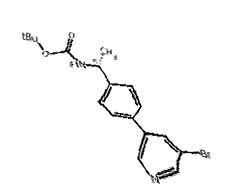 C[C@@H](NC(=O)OC(C)(C)C)c1ccc(-c2cncc(Br)c2)cc1